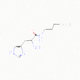 NC(Cc1c[nH]cn1)C(=O)NCCCS(=O)(=O)O